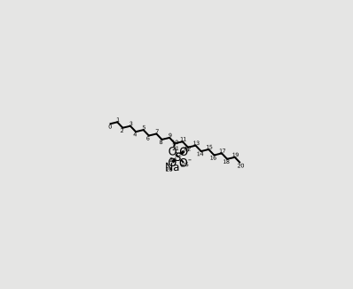 CCCCCCCCCCC(CCCCCCCCCC)OS(=O)(=O)[O-].[Na+]